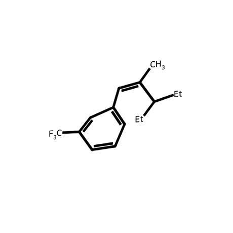 CCC(CC)C(C)=Cc1cccc(C(F)(F)F)c1